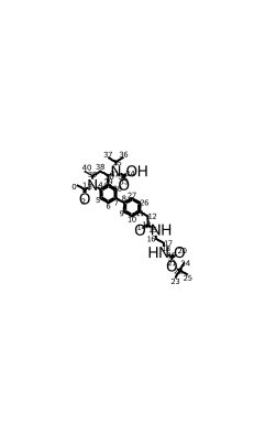 CC(=O)N1c2ccc(-c3ccc(CC(=O)NCCNC(=O)OC(C)(C)C)cc3)cc2[C@H](N(C(=O)O)C(C)C)C[C@@H]1C